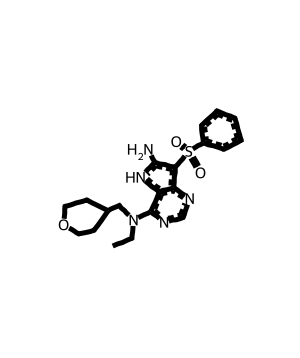 CCN(CC1CCOCC1)c1ncnc2c(S(=O)(=O)c3ccccc3)c(N)[nH]c12